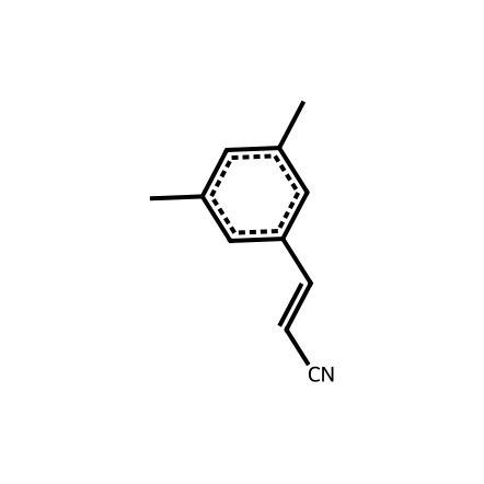 Cc1cc(C)cc(/C=C/C#N)c1